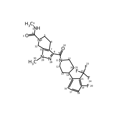 CNC(=O)N1CCc2c(C(=O)N3CCC(c4cccc(F)c4C(F)(F)F)CC3)nn(C)c2C1